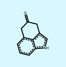 O=C1Cc2cccc3[nH]cc(c23)C1